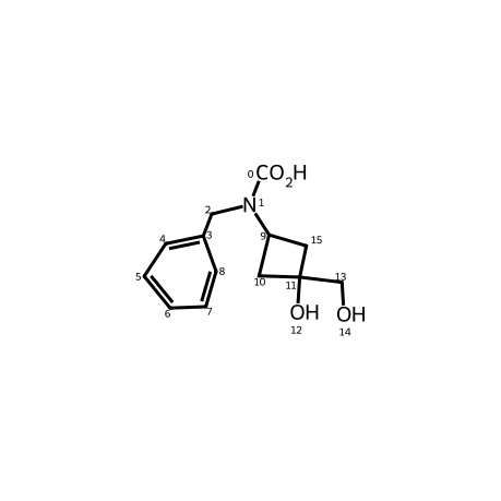 O=C(O)N(Cc1ccccc1)C1CC(O)(CO)C1